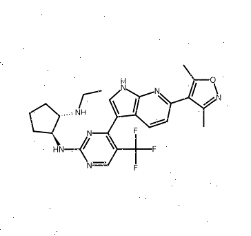 CCN[C@H]1CCC[C@@H]1Nc1ncc(C(F)(F)F)c(-c2c[nH]c3nc(-c4c(C)noc4C)ccc23)n1